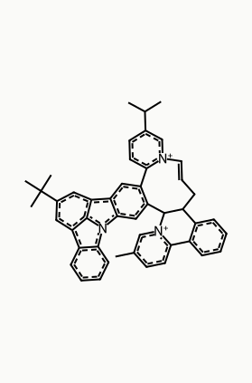 Cc1ccc2[n+](c1)C1c3cc4c(cc3-c3ccc(C(C)C)c[n+]3/C=C/CC1c1ccccc1-2)c1cc(C(C)(C)C)cc2c3ccccc3n4c21